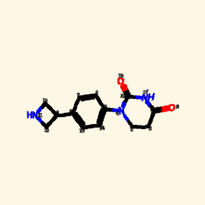 O=C1CCN(c2ccc(C3CNC3)cc2)C(=O)N1